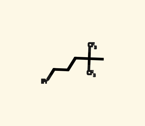 CC(C)CCCC(C)(C(F)(F)F)C(F)(F)F